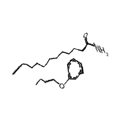 CCCCCCCCCCCC(N)=O.CCCCOc1ccccc1